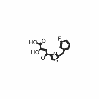 O=C(O)C(O)=CC(=O)c1csc(Cc2cccc(F)c2)n1